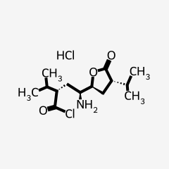 CC(C)[C@H](C[C@H](N)[C@@H]1C[C@@H](C(C)C)C(=O)O1)C(=O)Cl.Cl